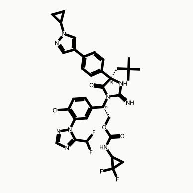 CC(C)(C)C[C@]1(c2ccc(-c3cnn(C4CC4)c3)cc2)NC(=N)N([C@H](COC(=O)NC2CC2(F)F)c2ccc(Cl)c(-n3ncnc3C(F)F)c2)C1=O